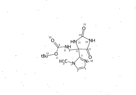 Cn1ccnc1C1(CNC(=O)OC(C)(C)C)NC(=O)NC1=O